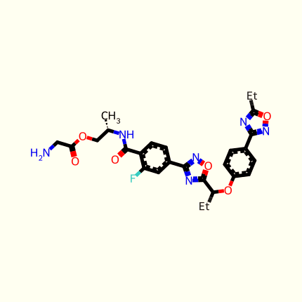 CCc1nc(-c2ccc(OC(CC)c3nc(-c4ccc(C(=O)N[C@@H](C)COC(=O)CN)c(F)c4)no3)cc2)no1